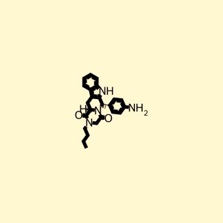 CCCCN1CC(=O)N2[C@@H](c3ccc(N)cc3)c3[nH]c4ccccc4c3C[C@H]2C1=O